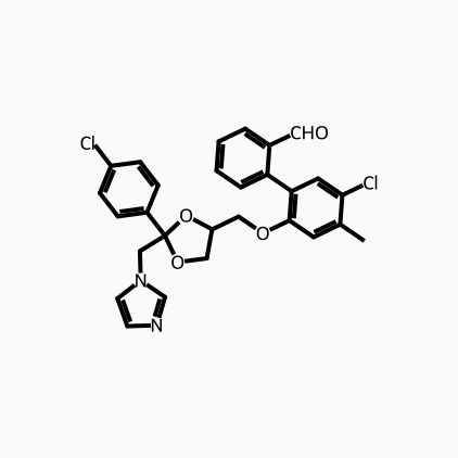 Cc1cc(OCC2COC(Cn3ccnc3)(c3ccc(Cl)cc3)O2)c(-c2ccccc2C=O)cc1Cl